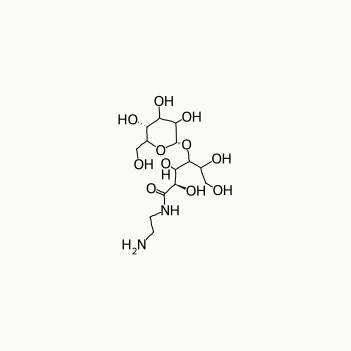 NCCNC(=O)[C@H](O)C(O)C(O[C@@H]1OC(CO)[C@H](O)C(O)C1O)C(O)CO